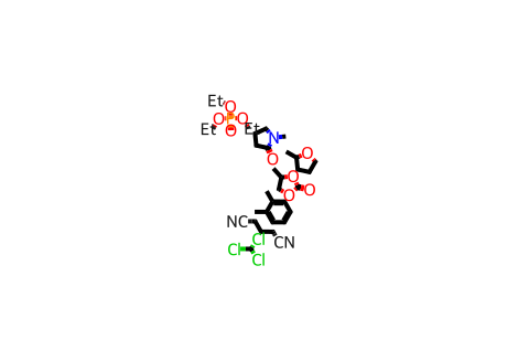 CC1CCCO1.CC1COC(=O)O1.CCOP(=O)(OCC)OCC.CN1CCCC1=O.Cc1ccccc1C.ClC(Cl)Cl.N#CCCCC#N